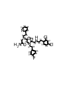 NC(=O)CN(CCc1ccccn1)C(=O)CN(CCc1ccc(F)cc1)C(=O)CNCCc1ccc(Cl)cc1Cl